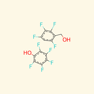 OCc1c(F)cc(F)c(F)c1F.Oc1c(F)c(F)c(F)c(F)c1F